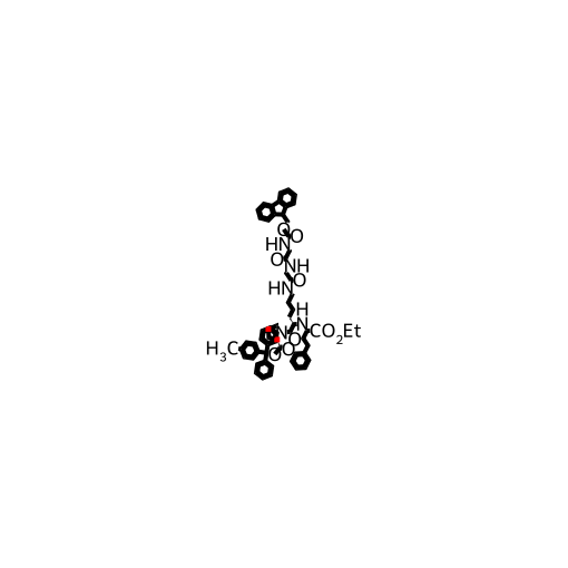 CCOC(=O)C(CCc1ccccc1)N[C@@H](CCCCNC(=O)CNC(=O)CNC(=O)OCC1c2ccccc2-c2ccccc21)C(=O)N1CCC[C@H]1C(=O)OC(c1ccccc1)(c1ccccc1)c1ccc(C)cc1